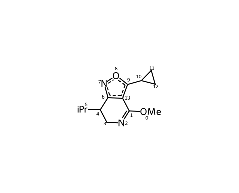 COC1=NCC(C(C)C)c2noc(C3CC3)c21